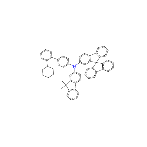 CC1(C)c2ccccc2-c2ccc(N(c3ccc(-c4ccccc4C4CCCCC4)cc3)c3ccc4c(c3)C3(c5ccccc5-c5ccccc53)c3ccccc3-4)cc21